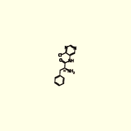 N[C@@H](Cc1ccccc1)C(=O)Nc1cncnc1Cl